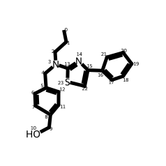 CCCN(Cc1ccc(CO)cc1)c1nc(-c2ccccc2)cs1